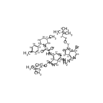 C[Si](C)(C)CCOCn1ncc2c(N)ncc(Br)c21.Cc1ccc(C2CCC(C)CN2C(=O)C(=O)Nc2cnc(N)c3cnn(COCC[Si](C)(C)C)c23)cc1